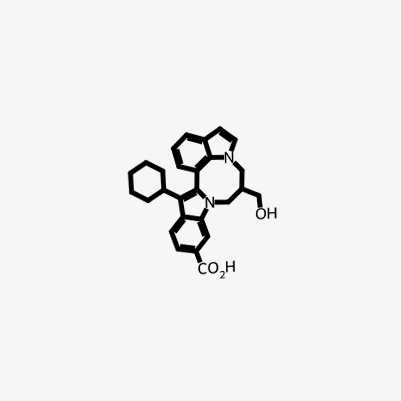 O=C(O)c1ccc2c(C3CCCCC3)c3n(c2c1)CC(CO)Cn1ccc2cccc-3c21